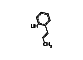 CC=Cc1ccccc1.[LiH]